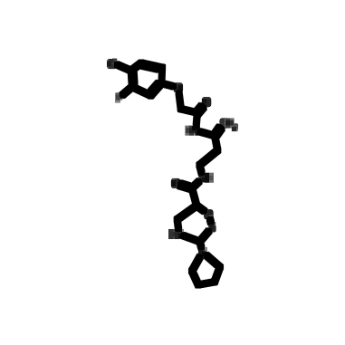 C=C(CCNC(=O)C1CNC(N2CCCC2)SO1)NC(=O)COc1ccc(Cl)c(F)c1